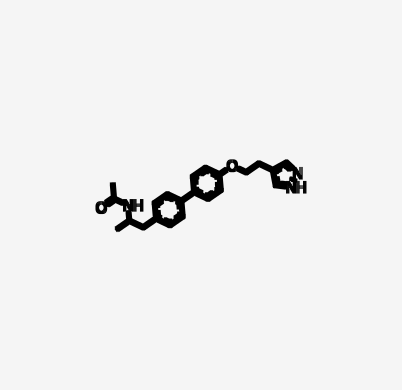 CC(=O)NC(C)Cc1ccc(-c2ccc(OCCc3cn[nH]c3)cc2)cc1